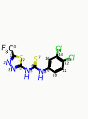 FC(F)(F)c1nnc(NC(=S)Nc2ccc(Cl)c(Cl)c2)s1